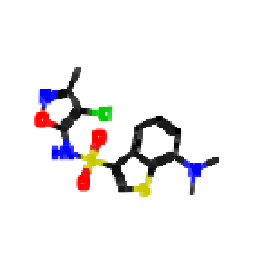 Cc1noc(NS(=O)(=O)c2csc3c(N(C)C)cccc23)c1Cl